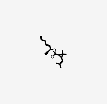 C#CC(/C=C/CC=C)OC(=O)C1C(C=C(C)C)C1(C)C